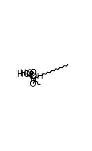 CCCCCCCCCCCCCCCCCN(CC(CO)P(=O)(O)O)C(=O)CCC